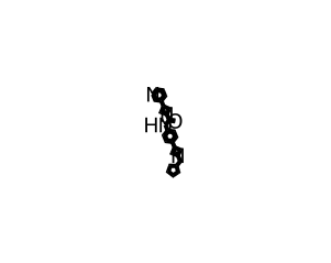 O=C(Nc1ccc(C2CN(CC3CCCC3)C2)cc1)N1CC(c2cccnc2)C1